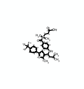 Cc1oc(-c2ccc(C(F)(F)F)cc2)cc1C(CC(C)C)Nc1ccc(C(=O)[N+](C)(C)CCC(=O)O)cc1